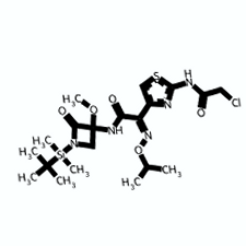 COC1(NC(=O)C(=NOC(C)C)c2csc(NC(=O)CCl)n2)CN([Si](C)(C)C(C)(C)C)C1=O